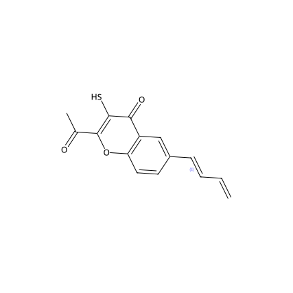 C=C/C=C/c1ccc2oc(C(C)=O)c(S)c(=O)c2c1